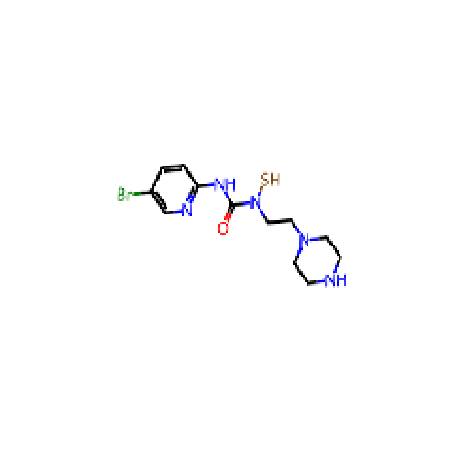 O=C(Nc1ccc(Br)cn1)N(S)CCN1CCNCC1